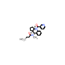 CN(C(=O)CCC(=O)O)[C@H]1c2ccccc2N(C(=O)c2cccnc2)[C@@H]2CCC[C@@H]21